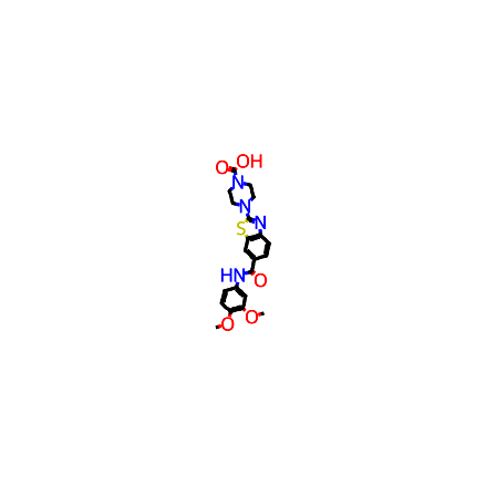 COc1ccc(NC(=O)c2ccc3nc(N4CCN(C(=O)O)CC4)sc3c2)cc1OC